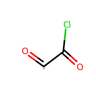 O=[C]C(=O)Cl